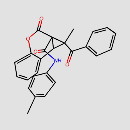 Cc1ccc(NC(=O)C23C(=O)Oc4ccccc4C2C3(C)C(=O)c2ccccc2)cc1